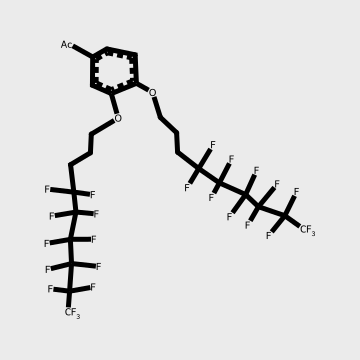 CC(=O)c1ccc(OCCCC(F)(F)C(F)(F)C(F)(F)C(F)(F)C(F)(F)C(F)(F)F)c(OCCCC(F)(F)C(F)(F)C(F)(F)C(F)(F)C(F)(F)C(F)(F)F)c1